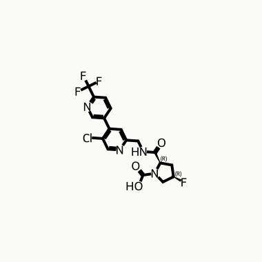 O=C(NCc1cc(-c2ccc(C(F)(F)F)nc2)c(Cl)cn1)[C@H]1C[C@@H](F)CN1C(=O)O